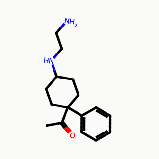 CC(=O)C1(c2ccccc2)CCC(NCCN)CC1